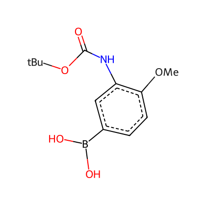 COc1ccc(B(O)O)cc1NC(=O)OC(C)(C)C